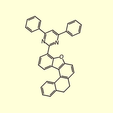 c1ccc(-c2cc(-c3ccccc3)nc(-c3cccc4c3oc3ccc5c(c34)-c3ccccc3CC5)n2)cc1